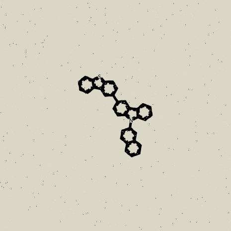 c1ccc2cc(-n3c4ccccc4c4cc(-c5ccc6sc7ccccc7c6c5)ccc43)ccc2c1